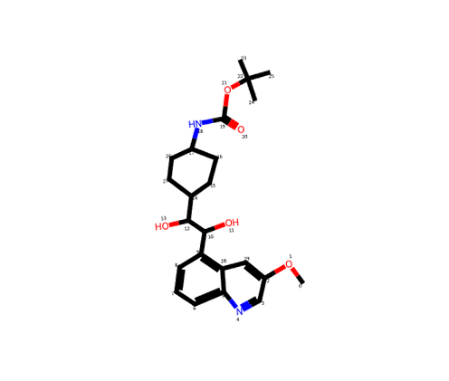 COc1cnc2cccc(C(O)C(O)C3CCC(NC(=O)OC(C)(C)C)CC3)c2c1